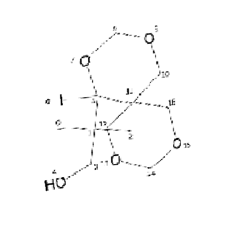 CC(C)(CO)C1(I)OCOCC12COCOC2